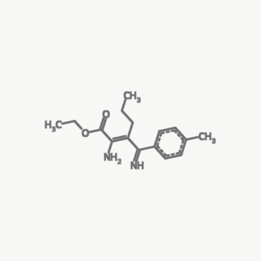 CCC/C(C(=N)c1ccc(C)cc1)=C(/N)C(=O)OCC